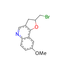 COc1ccc2ncc3c(c2c1)OC(CBr)C3